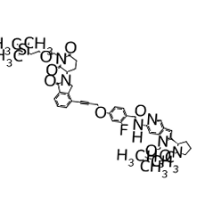 CN1CCC[C@@H]1c1cc2cnc(NC(=O)c3ccc(OCC#Cc4cccc5c4CN(C4CCC(=O)N(COCC[Si](C)(C)C)C4=O)C5=O)cc3F)cc2n1C(=O)OC(C)(C)C